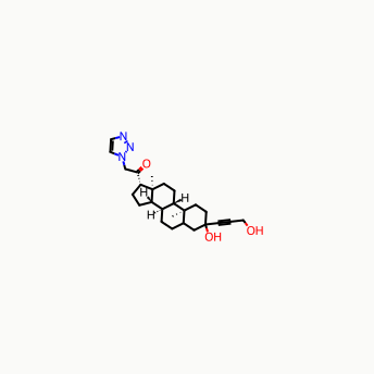 C[C@]12CC[C@H]3[C@@H](CCC4CC(O)(C#CCO)CC[C@@]43C)[C@@H]1CC[C@@H]2C(=O)Cn1ccnn1